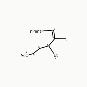 CCCCCC=C(C)C(CC)CCOC(C)=O